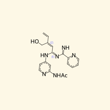 C=C/C(=C/C(=N\C(=N)c1ccccn1)Nc1ccnc(NC(C)=O)c1)CO